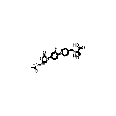 CC(=O)NC[C@H]1CN(c2ccc(N3CCC(Cn4nncc4C(=O)O)CC3)c(F)c2)C(=O)O1